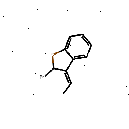 C/C=C1/c2ccccc2SC1C(C)C